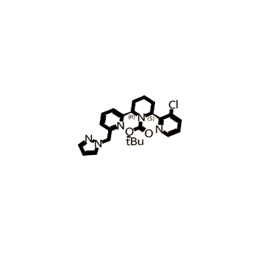 CC(C)(C)OC(=O)N1[C@@H](c2cccc(Cn3cccn3)n2)CCC[C@H]1c1ncccc1Cl